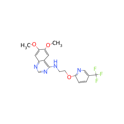 COc1cc2ncnc(NCCOc3ccc(C(F)(F)F)cn3)c2cc1OC